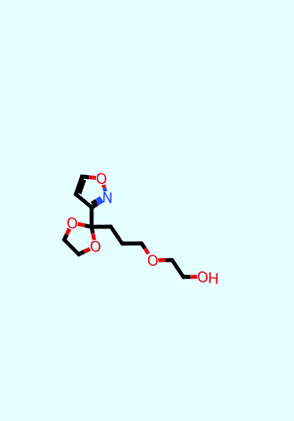 OCCOCCCC1(c2ccon2)OCCO1